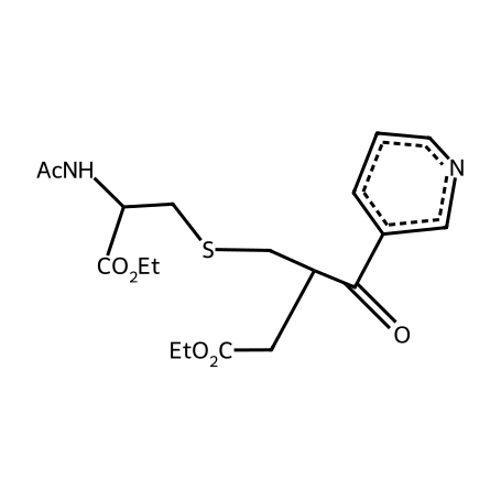 CCOC(=O)CC(CSCC(NC(C)=O)C(=O)OCC)C(=O)c1cccnc1